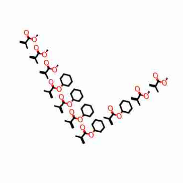 C=C(C)C(=O)OC.C=C(C)C(=O)OC.C=C(C)C(=O)OC.C=C(C)C(=O)OC.C=C(C)C(=O)OC.C=C(C)C(=O)OC1CCCCC1.C=C(C)C(=O)OC1CCCCC1.C=C(C)C(=O)OC1CCCCC1.C=C(C)C(=O)OC1CCCCC1.C=C(C)C(=O)OC1CCCCC1